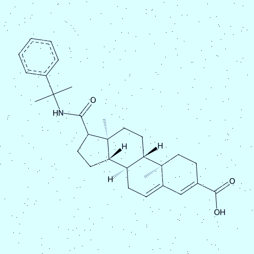 CC(C)(NC(=O)C1CC[C@H]2[C@@H]3CC=C4C=C(C(=O)O)CC[C@]4(C)[C@H]3CC[C@]12C)c1ccccc1